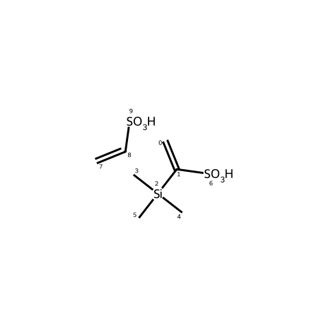 C=C([Si](C)(C)C)S(=O)(=O)O.C=CS(=O)(=O)O